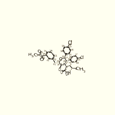 CCCC(C(=O)O)N1C(=O)[C@H](Cc2cccc(S(C)(=O)=O)c2)O[C@@H](c2ccc(Cl)cc2)[C@H]1c1ccc(Cl)cc1